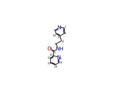 O=C(NCCc1ccncc1)c1ccccn1